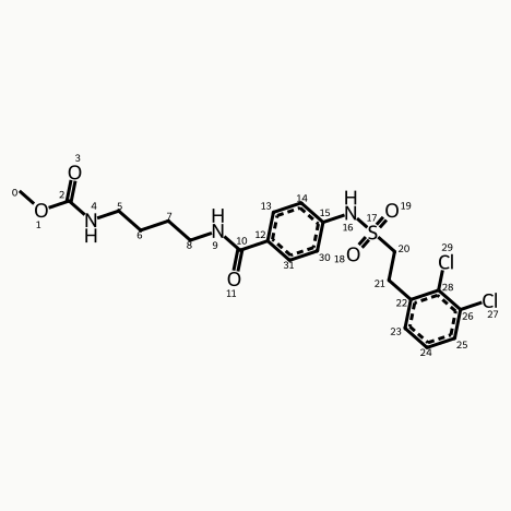 COC(=O)NCCCCNC(=O)c1ccc(NS(=O)(=O)CCc2cccc(Cl)c2Cl)cc1